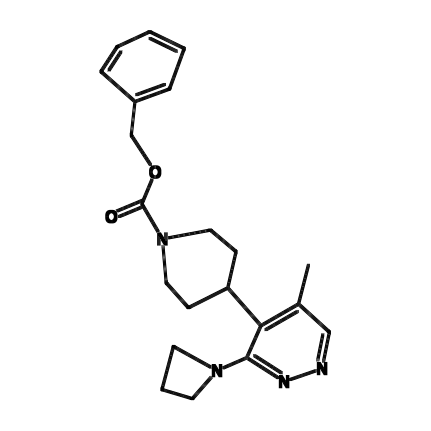 Cc1cnnc(N2CCC2)c1C1CCN(C(=O)OCc2ccccc2)CC1